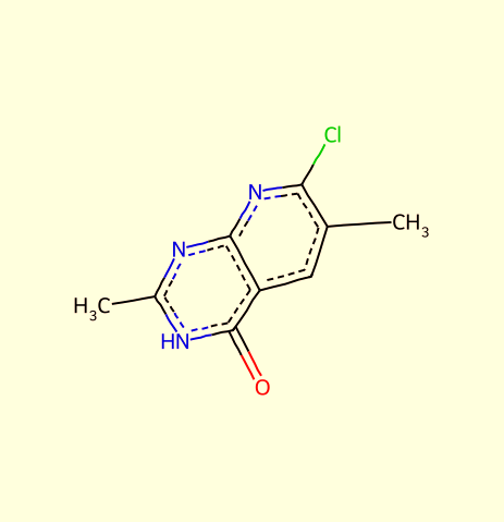 Cc1nc2nc(Cl)c(C)cc2c(=O)[nH]1